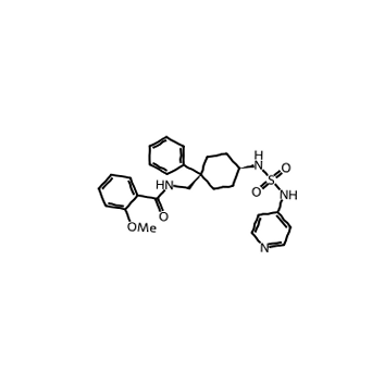 COc1ccccc1C(=O)NC[C@]1(c2ccccc2)CC[C@H](NS(=O)(=O)Nc2ccncc2)CC1